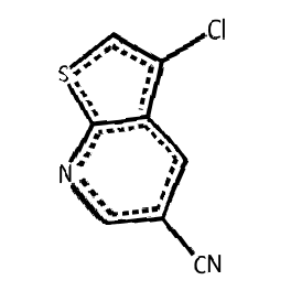 N#Cc1cnc2scc(Cl)c2c1